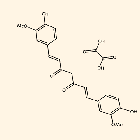 COc1cc(/C=C/C(=O)CC(=O)/C=C/c2ccc(O)c(OC)c2)ccc1O.O=C(O)C(=O)O